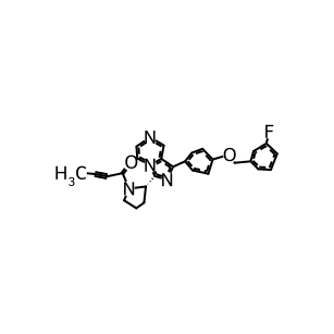 CC#CC(=O)N1CCC[C@H]1c1nc(-c2ccc(OCc3cccc(F)c3)cc2)c2cnccn12